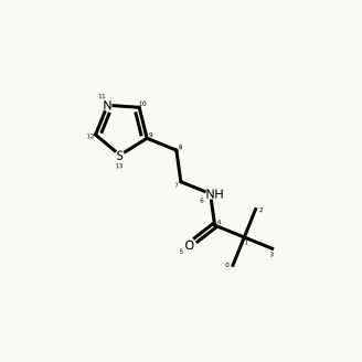 CC(C)(C)C(=O)NCCc1cncs1